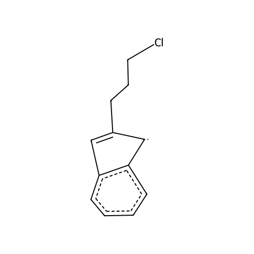 ClCCCC1=Cc2ccccc2[CH]1